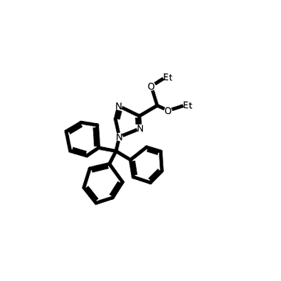 CCOC(OCC)c1ncn(C(c2ccccc2)(c2ccccc2)c2ccccc2)n1